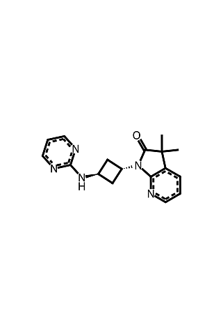 CC1(C)C(=O)N([C@H]2C[C@H](Nc3ncccn3)C2)c2ncccc21